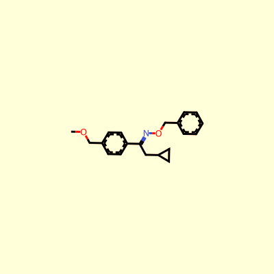 COCc1ccc(C(CC2CC2)=NOCc2ccccc2)cc1